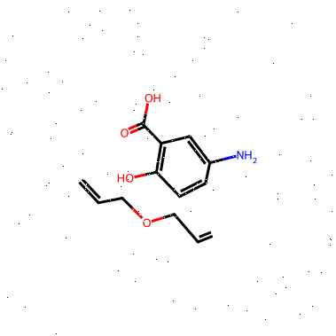 C=CCOCC=C.Nc1ccc(O)c(C(=O)O)c1